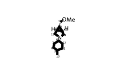 COC[C@@H]1[C@H]2CN(C3CCC(C)CC3)C[C@@H]12